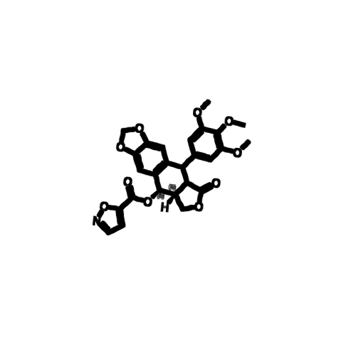 COc1cc(C2c3cc4c(cc3[C@H](OC(=O)c3ccno3)[C@H]3COC(=O)C23)OCO4)cc(OC)c1OC